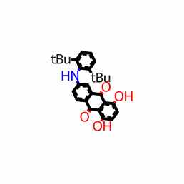 CC(C)(C)c1cccc(C(C)(C)C)c1Nc1ccc2c(c1)C(=O)c1c(O)ccc(O)c1C2=O